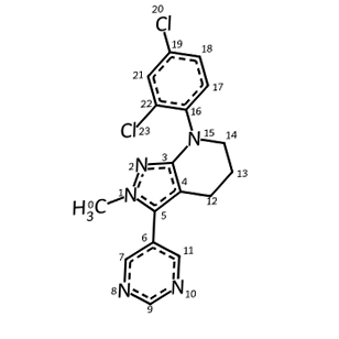 Cn1nc2c(c1-c1cncnc1)CCCN2c1ccc(Cl)cc1Cl